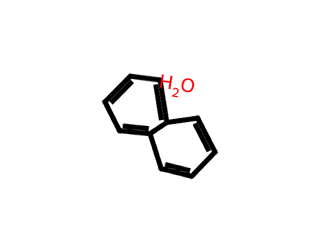 O.c1ccc2ccccc2c1